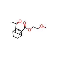 COCCOC(=O)C1C2C=CC(CC2)C1C(C)=O